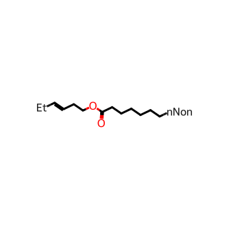 CC/C=C/CCOC(=O)CCCCCCCCCCCCCCC